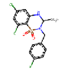 O=C(O)C1Nc2cc(Cl)cc(Cl)c2S(=O)(=O)N1Cc1ccc(F)cc1